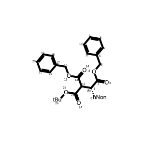 CCCCCCCCC[C@@H](C(=O)OCc1ccccc1)C(C(=O)OCc1ccccc1)C(=O)OC(C)(C)C